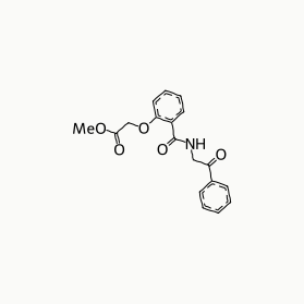 COC(=O)COc1ccccc1C(=O)NCC(=O)c1ccccc1